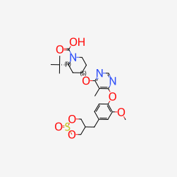 COc1cc(CC2COS(=O)OC2)ccc1Oc1ncnc(O[C@H]2CCN(C(=O)O)[C@@H](C(C)(C)C)C2)c1C